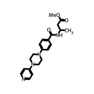 COC(=O)CC(C)NC(=O)c1ccc(N2CCN(c3ccncc3)CC2)cc1